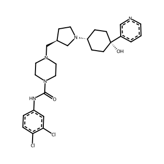 O=C(Nc1ccc(Cl)c(Cl)c1)N1CCN(C[C@H]2CCN([C@H]3CC[C@](O)(c4cccnc4)CC3)C2)CC1